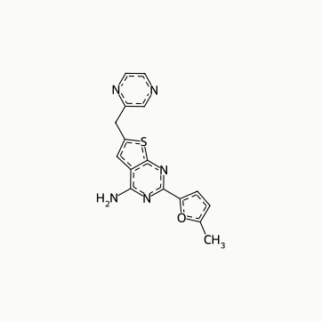 Cc1ccc(-c2nc(N)c3cc(Cc4cnccn4)sc3n2)o1